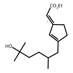 CCOC(=O)/C=C1/C=C(CC(C)CCC(C)(C)O)CC1